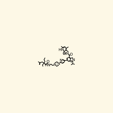 C=C(C)CC(CC)(CCC)CC(=O)NCCN1CCN(c2ccc(-c3cc(C(=O)NCc4c(C)cc(C)[nH]c4=O)c4cnn(C(C)C)c4c3)cn2)CC1